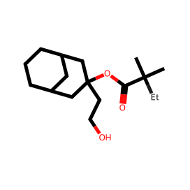 CCC(C)(C)C(=O)OC1(CCO)CC2CCCC(C2)C1